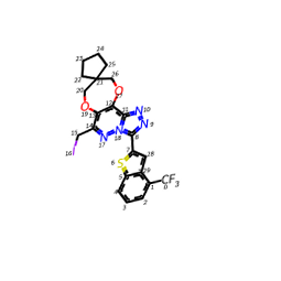 FC(F)(F)c1cccc2sc(-c3nnc4c5c(c(CI)nn34)OCC3(CCCC3)CO5)cc12